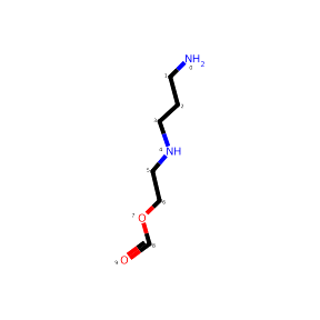 NCCCNCCOC=O